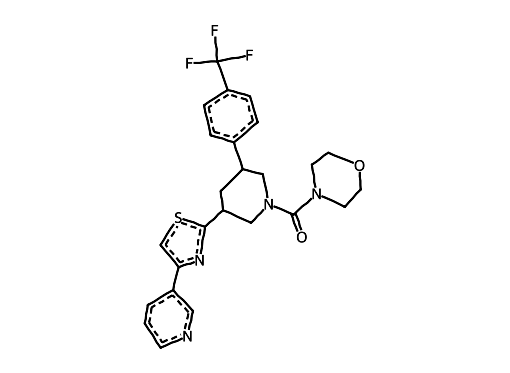 O=C(N1CCOCC1)N1CC(c2ccc(C(F)(F)F)cc2)CC(c2nc(-c3cccnc3)cs2)C1